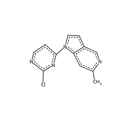 Cc1cc2c(ccn2-c2ccnc(Cl)n2)cn1